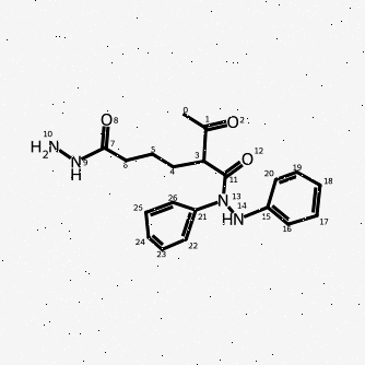 CC(=O)C(CCCC(=O)NN)C(=O)N(Nc1ccccc1)c1ccccc1